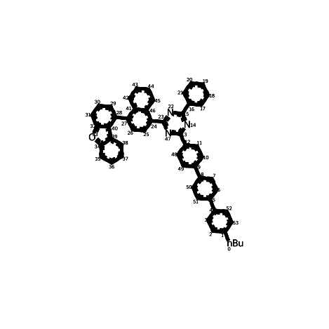 CCCCc1ccc(-c2ccc(-c3ccc(-c4nc(-c5ccccc5)nc(-c5ccc(-c6cccc7oc8ccccc8c67)c6ccccc56)n4)cc3)cc2)cc1